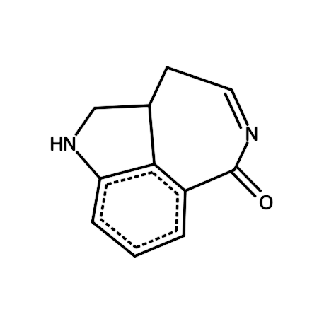 O=C1N=CCC2CNc3cccc1c32